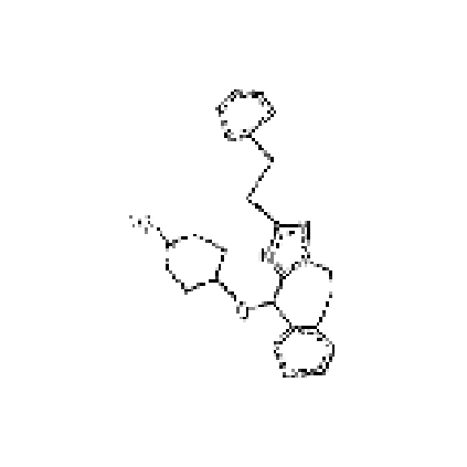 CN1CCC(OC2c3ccccc3CCn3cc(CCc4ccccc4)nc32)CC1